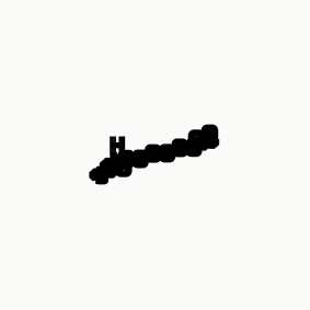 CCSC1CCC(NC(=O)OCCOCCOCCOCCOCCOC(=O)CC(C=O)CC)CC1